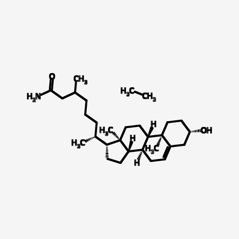 CC.CC(CCC[C@@H](C)[C@H]1CC[C@H]2[C@@H]3CC=C4C[C@@H](O)CC[C@]4(C)[C@H]3CC[C@]12C)CC(N)=O